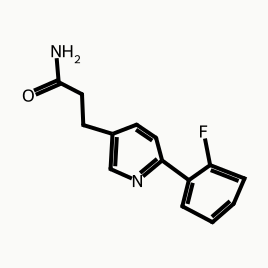 NC(=O)CCc1ccc(-c2ccccc2F)nc1